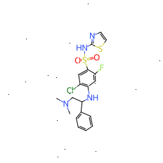 CN(C)CC(Nc1cc(F)c(S(=O)(=O)Nc2nccs2)cc1Cl)c1ccccc1